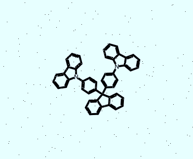 c1ccc2c(c1)-c1ccccc1C2(c1ccc(-n2c3ccccc3c3ccccc32)cc1)c1ccc(-n2c3ccccc3c3ccccc32)cc1